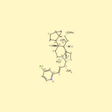 CO[C@@H]1C[C@H]2[C@@H]3CC[C@H]([C@H](C)/C=C/c4cc(F)ccn4)[C@@]3(C)CC[C@@H]2[C@@]2(C)CCC3CC312